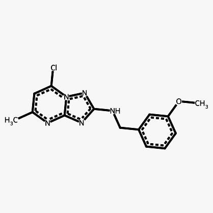 COc1cccc(CNc2nc3nc(C)cc(Cl)n3n2)c1